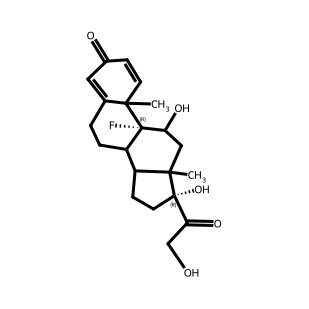 CC12C=CC(=O)C=C1CCC1C3CC[C@](O)(C(=O)CO)C3(C)CC(O)[C@@]12F